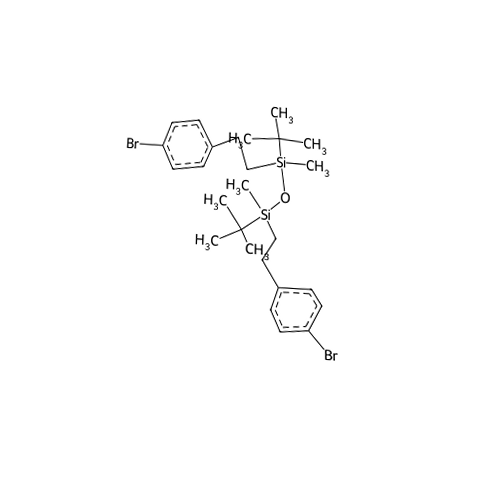 CC(C)(C)[Si](C)(CCc1ccc(Br)cc1)O[Si](C)(CCc1ccc(Br)cc1)C(C)(C)C